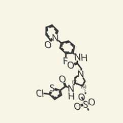 CS(=O)(=O)OC[C@H]1CN(CC(=O)Nc2ccc(-n3ccccc3=O)cc2F)C[C@@H]1NC(=O)c1ccc(Cl)s1